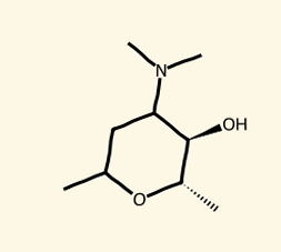 CC1CC(N(C)C)[C@@H](O)[C@H](C)O1